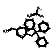 C=C(C)C.C=Cc1ccc(CC(c2ccccc2)(c2ccccc2)c2ccccc2)cc1